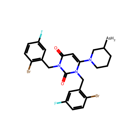 O=c1cc(N2CCCC([AsH2])C2)n(Cc2cc(F)ccc2Br)c(=O)n1Cc1cc(F)ccc1Br